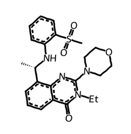 CCn1c(N2CCOCC2)nc2c([C@H](C)Nc3ccccc3S(C)(=O)=O)cccc2c1=O